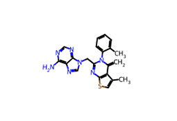 C=C1c2c(C)csc2N=C(Cn2cnc3c(N)ncnc32)N1c1ccccc1C